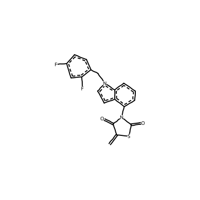 C=C1SC(=O)N(c2cccc3c2ccn3Cc2ccc(F)cc2F)C1=O